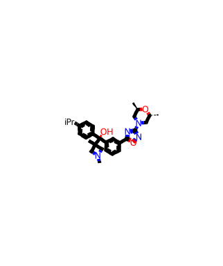 CC(C)c1ccc([C@](O)(c2cccc(-c3nc(N4C[C@@H](C)O[C@H](C)C4)no3)c2)C2(C)CN(C)C2)cc1